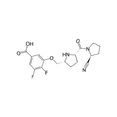 N#C[C@@H]1CCCN1C(=O)[C@@H]1CC[C@H](COc2cc(C(=O)O)cc(F)c2F)N1